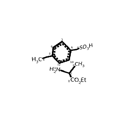 CCOC(=O)C(C)N.Cc1ccc(S(=O)(=O)O)cc1